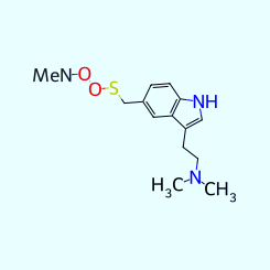 CNOOSCc1ccc2[nH]cc(CCN(C)C)c2c1